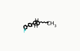 CCCCCCC1CC[C@@H]2C[C@H](c3ccc(-c4cccc(F)c4)cc3)CC[C@@H]2C1